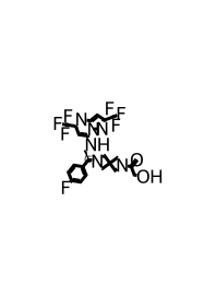 O=C(CO)N1CC2(C1)CN([C@H](CNc1cc(C(F)(F)F)nc3cc(C(F)(F)F)nn13)c1ccc(F)cc1)C2